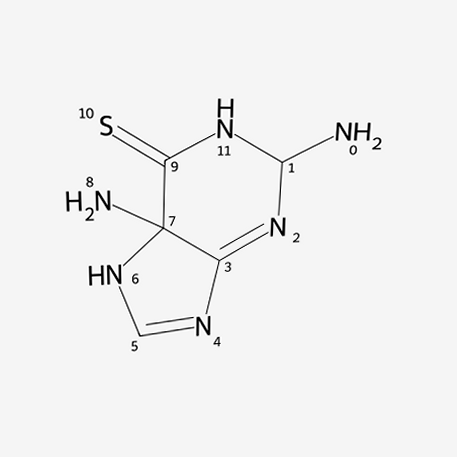 NC1N=C2N=CNC2(N)C(=S)N1